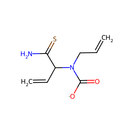 C=CCN(C([O])=O)C(C=C)C(N)=S